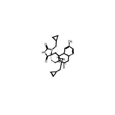 O=C1NC(=O)[C@@]2(CC[C@@]3(O)[C@H]4CC5C=CC(O)=CC5[C@@]3(CCN4CC3CC3)C2)N1CC1CC1